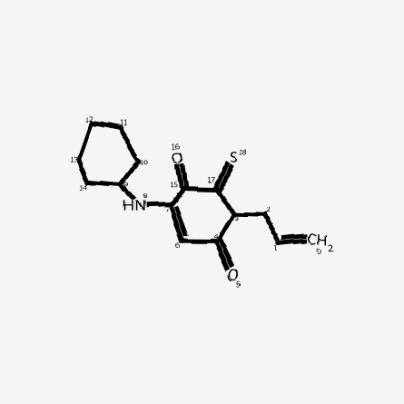 C=CCC1C(=O)C=C(NC2CCCCC2)C(=O)C1=S